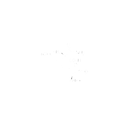 CCCCCCCCCCCC(C[C@@H]1OC(=O)[C@H]1CCCCCC)[C@](CCCC)(C(N)=O)C(=O)O